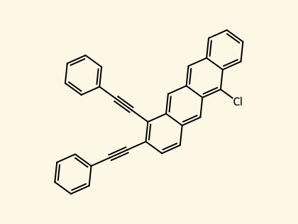 Clc1c2ccccc2cc2cc3c(C#Cc4ccccc4)c(C#Cc4ccccc4)ccc3cc12